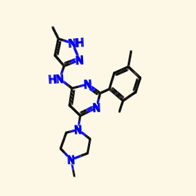 Cc1ccc(C)c(-c2nc(Nc3cc(C)[nH]n3)cc(N3CCN(C)CC3)n2)c1